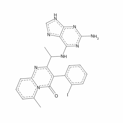 Cc1cccc2nc(C(C)Nc3nc(N)nc4[nH]cnc34)c(-c3ccccc3I)c(=O)n12